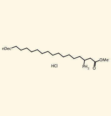 CCCCCCCCCCCCCCCCCCCCCCCC(P)CC(=O)OC.Cl